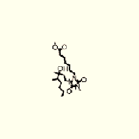 CCCCC(C)C(C)(O)CCn1c(=O)n(C)c(=O)n1CCCCCCC(=O)OC